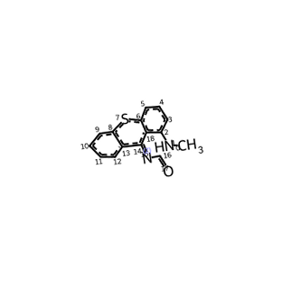 CNc1cccc2sc3ccccc3/c(=N/C=O)c12